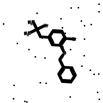 CC(C)C(C)(N)Cc1ccc(Br)c(OCc2ccccc2)c1